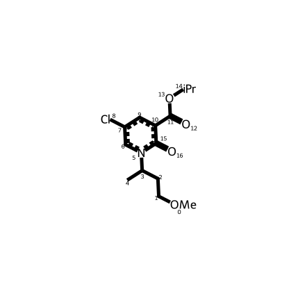 COCCC(C)n1cc(Cl)cc(C(=O)OC(C)C)c1=O